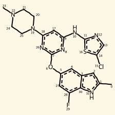 Cc1cc2cc(Oc3nc(Nc4ncc(Cl)s4)cc(N4CCN(C)CC4)n3)cc(F)c2[nH]1